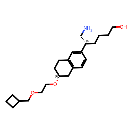 NC[C@H](CCCCO)c1ccc2c(c1)CC[C@@H](OCCOCC1CCC1)C2